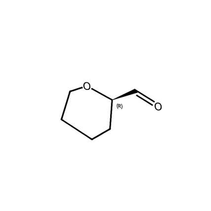 O=C[C@H]1CCCCO1